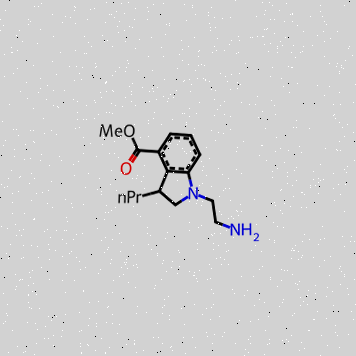 CCCC1CN(CCN)c2cccc(C(=O)OC)c21